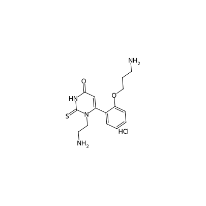 Cl.NCCCOc1ccccc1-c1cc(=O)[nH]c(=S)n1CCN